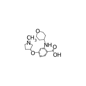 CN1CC[C@H](Oc2ccc(C(=O)O)c(NC3CCOCC3)c2)C1